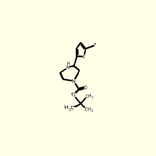 CC(C)(C)OC(=O)N1CCNC(c2ccc(F)s2)C1